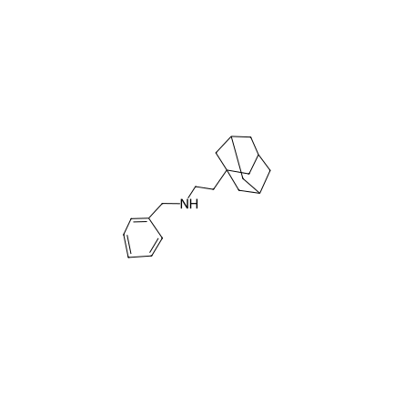 c1ccc(CNCCC23CC4CC(CC(C4)C2)C3)cc1